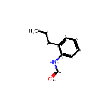 CCCc1ccccc1N[C]=O